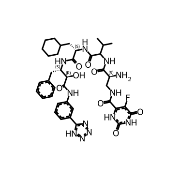 CC(C)C(NC(=O)[C@@H](N)CNC(=O)c1[nH]c(=O)[nH]c(=O)c1F)C(=O)N[C@@H](CC1CCCCC1)C(=O)N[C@@H](Cc1ccccc1)[C@@H](O)C(=O)Nc1cccc(-c2nnn[nH]2)c1